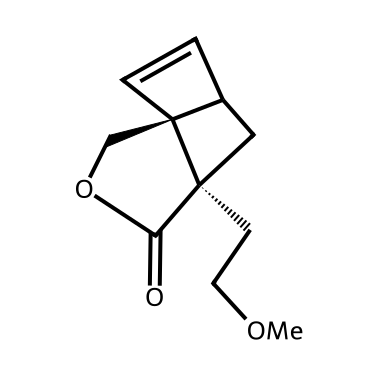 COCC[C@@]12CC3C=C[C@]31COC2=O